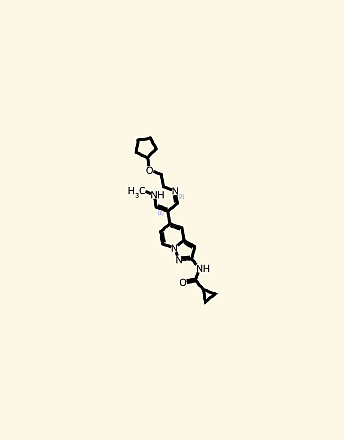 CN/C=C(\C=N/CCOC1CCCC1)c1ccn2nc(NC(=O)C3CC3)cc2c1